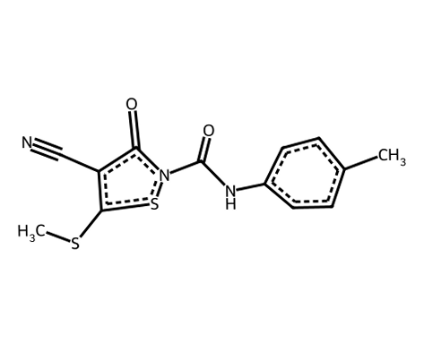 CSc1sn(C(=O)Nc2ccc(C)cc2)c(=O)c1C#N